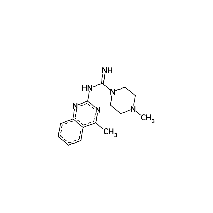 Cc1nc(NC(=N)N2CCN(C)CC2)nc2ccccc12